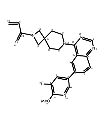 [2H]c1cc(-c2ccc3ncnc(N4CCC5(CC4)CN(C(=O)C=C)C5)c3c2)cnc1OC